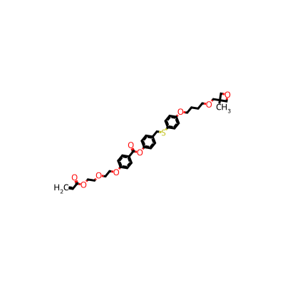 C=CC(=O)OCCOCCOc1ccc(C(=O)Oc2ccc(CSc3ccc(OCCCCOCC4(C)COC4)cc3)cc2)cc1